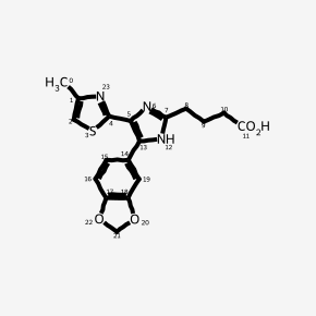 Cc1csc(-c2nc(CCCC(=O)O)[nH]c2-c2ccc3c(c2)OCO3)n1